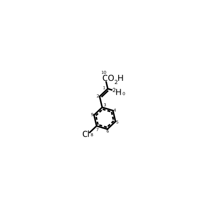 [2H]C(=Cc1cccc(Cl)c1)C(=O)O